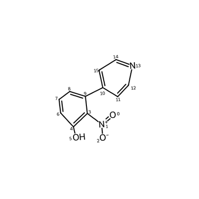 O=[N+]([O-])c1c(O)cccc1-c1ccncc1